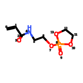 C=CC(=O)NCCOP1(=O)OCCO1